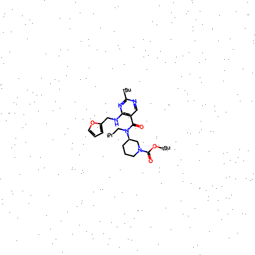 CC(C)CN(C(=O)c1cnc(C(C)(C)C)nc1NCc1ccco1)[C@@H]1CCCN(C(=O)OC(C)(C)C)C1